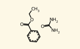 CCOC(=O)c1ccccc1.NC(N)=O